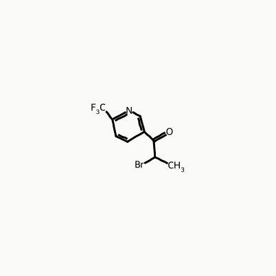 CC(Br)C(=O)c1ccc(C(F)(F)F)nc1